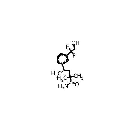 C[C@@H](CC(C)(C)[S+](N)[O-])c1cccc(C(F)(F)CO)c1